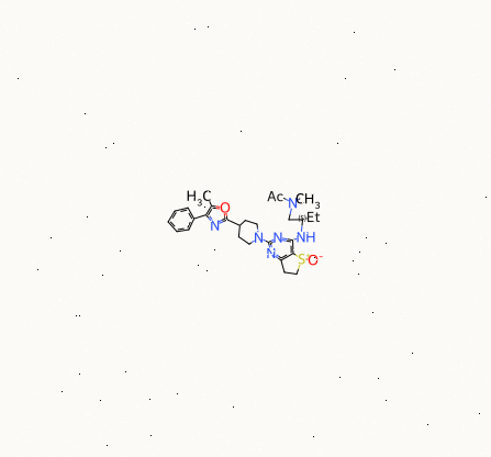 CC[C@@H](CN(C)C(C)=O)Nc1nc(N2CCC(c3nc(-c4ccccc4)c(C)o3)CC2)nc2c1[S+]([O-])CC2